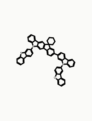 c1ccc2c(c1)oc1ccc(-n3c4ccccc4c4ccc(-c5ccc6c(c5)C5(CCCCC5)c5cc7c8ccccc8n(-c8ccc9c(c8)sc8ccccc89)c7cc5-6)cc43)cc12